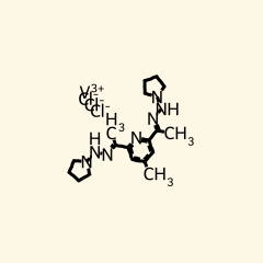 CC(=NNN1CCCC1)c1cc(C)cc(C(C)=NNN2CCCC2)n1.[Cl-].[Cl-].[Cl-].[V+3]